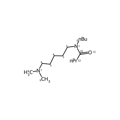 CCCCN(CCCCCN(C)C)C(=O)CCC